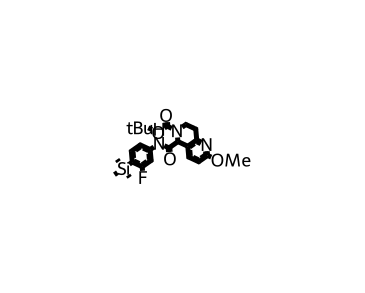 COc1ccc2c(n1)CCN(C(=O)OC(C)(C)C)C2C(=O)Nc1ccc([Si](C)(C)C)c(F)c1